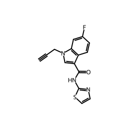 C#CCn1cc(C(=O)Nc2nccs2)c2ccc(F)cc21